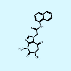 CN1CC(=O)c2c(ncn2CC(=O)Nc2cccc3cnccc23)N(C)C1=O